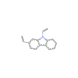 C=Cc1ccc2c3ccccc3n(C=C)c2c1